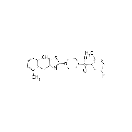 Cc1ccc(F)cc1S(=O)(=O)C1CCN(c2nc(Cc3c(C)cccc3C)cs2)CC1